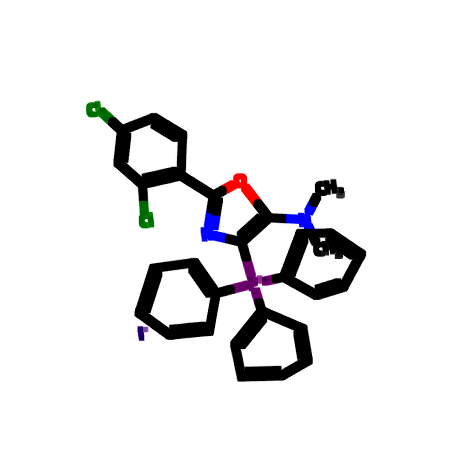 CN(C)c1oc(-c2ccc(Cl)cc2Cl)nc1[P+](c1ccccc1)(c1ccccc1)c1ccccc1.[I-]